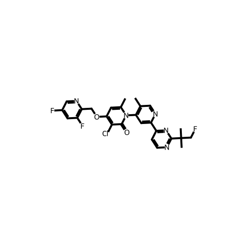 Cc1cnc(-c2ccnc(C(C)(C)CF)n2)cc1-n1c(C)cc(OCc2ncc(F)cc2F)c(Cl)c1=O